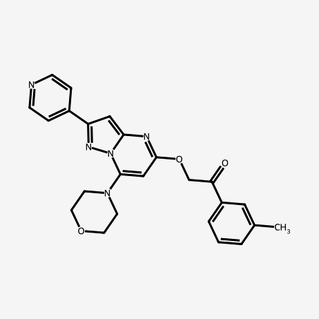 Cc1cccc(C(=O)COc2cc(N3CCOCC3)n3nc(-c4ccncc4)cc3n2)c1